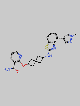 Cn1cc(-c2cccc3sc(NC4CC5(C4)CC(Oc4ncccc4C(N)=O)C5)nc23)cn1